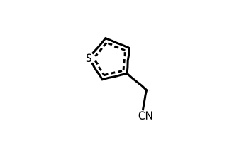 N#C[CH]c1ccsc1